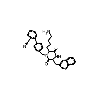 N#Cc1ccccc1-c1ccc(CN2C(=O)C(Cc3ccc4ccccc4c3)NC(=O)C2CCCCN)cc1